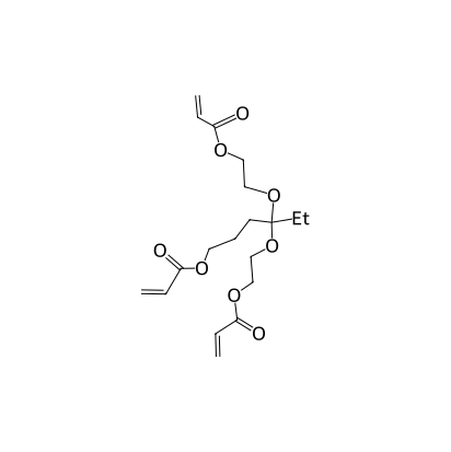 C=CC(=O)OCCCC(CC)(OCCOC(=O)C=C)OCCOC(=O)C=C